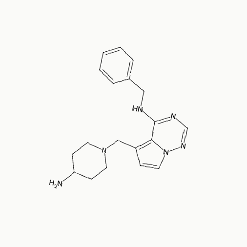 NC1CCN(Cc2ccn3ncnc(NCc4ccccc4)c23)CC1